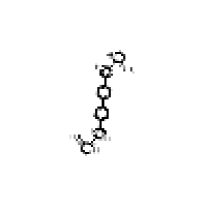 C[C@H]1CCN[C@@H]1c1nc(-c2ccc(-c3ccc(-c4c[nH]c([C@H]5NCC[C@@H]5C)n4)cc3)cc2)c[nH]1